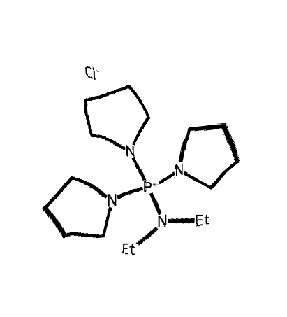 CCN(CC)[P+](N1CCCC1)(N1CCCC1)N1CCCC1.[Cl-]